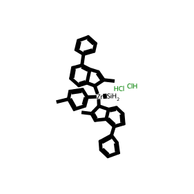 CC1=Cc2c(-c3ccccc3)cccc2[CH]1[Zr](=[SiH2])([c]1ccc(C)cc1)[CH]1C(C)=Cc2c(-c3ccccc3)cccc21.Cl.Cl